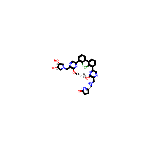 COc1nc(-c2cccc(-c3cccc(-c4cnc(CN5C[C@H](O)[C@@H](O)C5)c(OC)n4)c3Cl)c2Cl)cnc1CNC[C@@H]1CCC(=O)N1